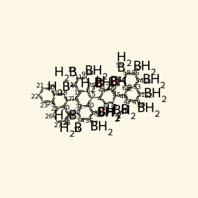 Bc1c(B)c(-c2c3c(B)c(B)c(B)c(B)c3c(-c3cc4ccccc4c4ccccc34)c3c(B)c(B)c(B)c(B)c23)c(B)c(B)c1-c1c(B)c(B)c(B)c2c(B)c(B)c(B)c(B)c12